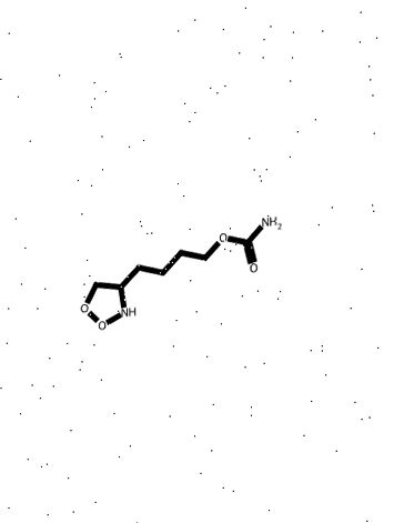 NC(=O)OCCCCC1COON1